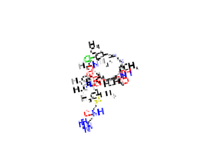 C/C1=C\C=C\[C@@H](C)[C@@]2(O)C[C@H](OC(=O)N2)[C@@H](C)[C@@H]2O[C@@]2(C)[C@@H](OC(=O)[C@H](C)N(C)C(=O)CCC(C)(C)SSCCNC(=O)Cc2nncnn2)CC(=O)N(C)c2cc(cc(C)c2Cl)C1